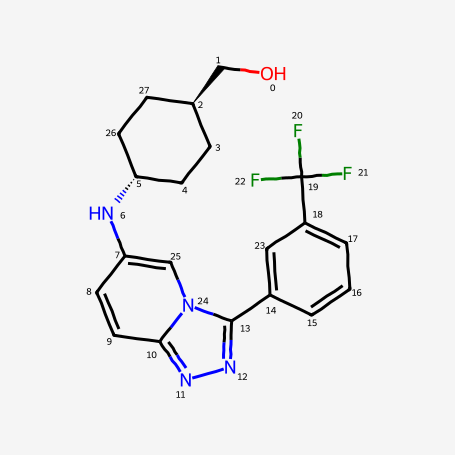 OC[C@H]1CC[C@H](Nc2ccc3nnc(-c4cccc(C(F)(F)F)c4)n3c2)CC1